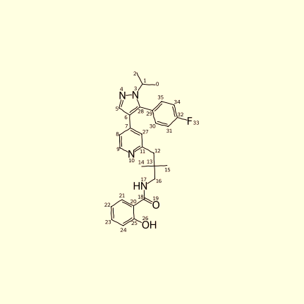 CC(C)n1ncc(-c2ccnc(CC(C)(C)CNC(=O)c3ccccc3O)c2)c1-c1ccc(F)cc1